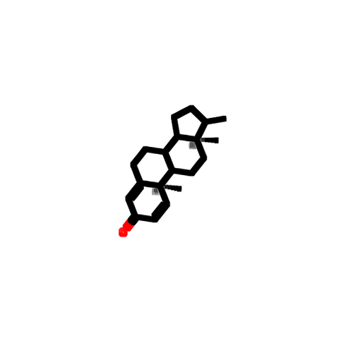 CC1CCC2C3CCC4=CC(=O)C=C[C@]4(C)C3CC[C@]12C